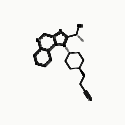 C[C@@H](O)c1nc2cnc3ccccc3c2n1[C@H]1CC[C@H](CCC#N)CC1